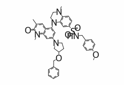 COc1ccc(CNS(=O)(=O)c2ccc3c(c2)N(c2cc(N4CCC(OCc5ccccc5)C4)cc4c2cc(C)c(=O)n4C)CCN3C)cc1